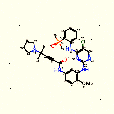 COc1ccc(NC(=O)C#CC(C)(C)N2CCCC2)cc1Nc1ncc(Cl)c(Nc2ccccc2P(C)(C)=O)n1